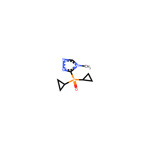 Cn1cnnc1P(=O)(C1CC1)C1CC1